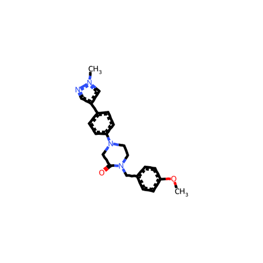 COc1ccc(CN2CCN(c3ccc(-c4cnn(C)c4)cc3)CC2=O)cc1